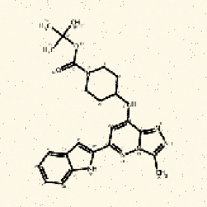 Cc1nnc2c(NC3CCN(C(=O)OC(C)(C)C)CC3)cc(-c3cc4ccccc4[nH]3)nn12